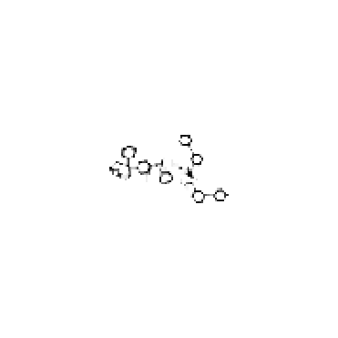 C[Si]1(C)c2cc(-c3nc(-c4cccc(-c5ccccc5)c4)nc(-c4cccc(-c5ccccc5)c4)n3)ccc2Oc2cc3c(cc21)-c1ccccc1C31C2CC3CC(C2)CC1C3